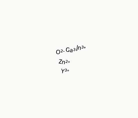 [Ga+3].[In+3].[O-2].[Y+3].[Zn+2]